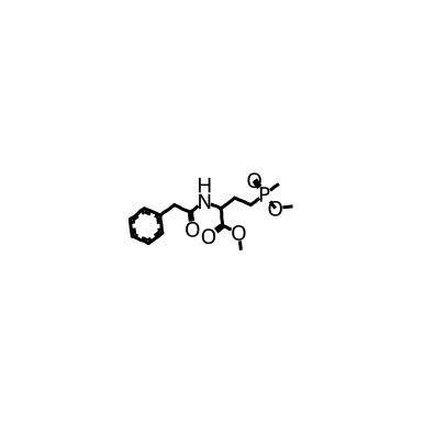 COC(=O)C(CCP(C)(=O)OC)NC(=O)Cc1ccccc1